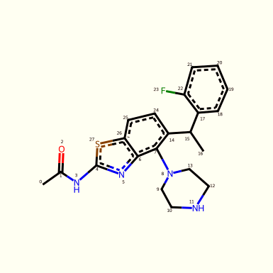 CC(=O)Nc1nc2c(N3CCNCC3)c(C(C)c3ccccc3F)ccc2s1